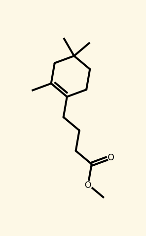 COC(=O)CCCC1=C(C)CC(C)(C)CC1